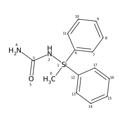 C[Si](NC(N)=O)(c1ccccc1)c1ccccc1